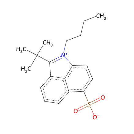 CCCC[N+]1=C(C(C)(C)C)c2cccc3c(S(=O)(=O)[O-])ccc1c23